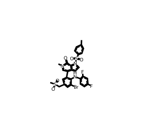 Cc1ccc(S(=O)(=O)n2ccc3c(-c4cc(CS(C)(=O)=O)cc(Br)c4Nc4ccc(F)cc4F)cn(C)c(=O)c32)cc1